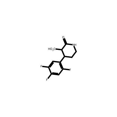 O=C(O)C1C(=O)NCCC1c1cc(F)c(F)cc1F